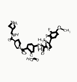 COc1ccc(-c2cnc(C(=O)Nc3ccc(C(=O)N4CCC(C(=O)NCC5CNC5)CC4)c(Cl)c3)n2C)c(F)c1F.O=CO